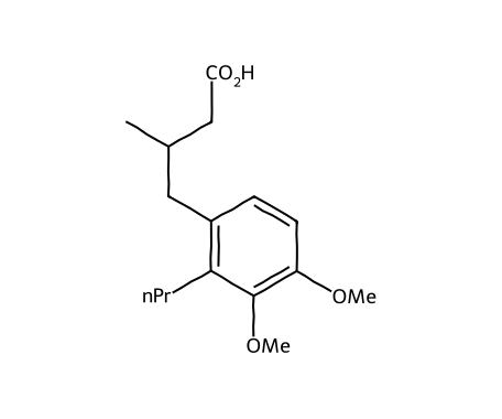 CCCc1c(CC(C)CC(=O)O)ccc(OC)c1OC